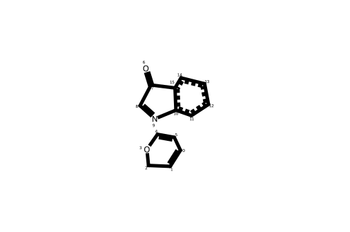 C1=CCOC=C1.O=C1C=Nc2ccccc21